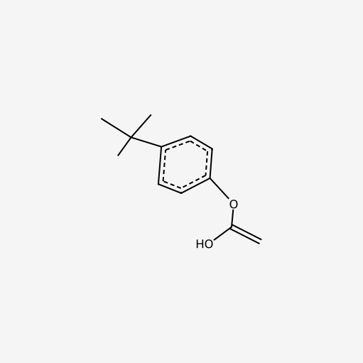 C=C(O)Oc1ccc(C(C)(C)C)cc1